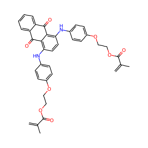 C=C(C)C(=O)OCCOc1ccc(Nc2ccc(Nc3ccc(OCCOC(=O)C(=C)C)cc3)c3c2C(=O)c2ccccc2C3=O)cc1